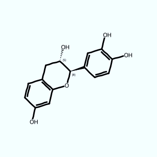 Oc1ccc2c(c1)O[C@H](c1ccc(O)c(O)c1)[C@@H](O)C2